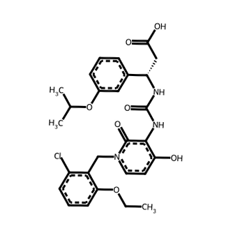 CCOc1cccc(Cl)c1Cn1ccc(O)c(NC(=O)N[C@@H](CC(=O)O)c2cccc(OC(C)C)c2)c1=O